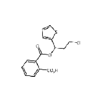 O=C(O)c1ccccc1C(=O)OC(CCCl)c1cccs1